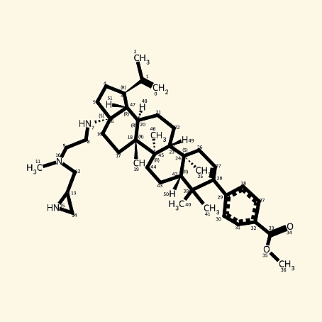 C=C(C)[C@@H]1CC[C@]2(NCCN(C)CC3CN3)CC[C@]3(C)[C@H](CC[C@@H]4[C@@]5(C)CC=C(c6ccc(C(=O)OC)cc6)C(C)(C)[C@@H]5CC[C@]43C)[C@@H]12